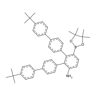 CC(C)(C)c1ccc(-c2ccc(-c3c(N)ccc(B4OC(C)(C)C(C)(C)O4)c3-c3ccc(-c4ccc(C(C)(C)C)cc4)cc3)cc2)cc1